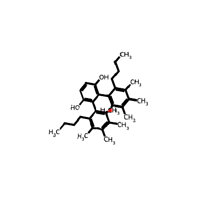 CCCCc1c(C)c(C)c(C)c(C)c1-c1c(O)ccc(O)c1-c1c(C)c(C)c(C)c(C)c1CCCC